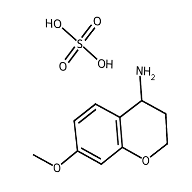 COc1ccc2c(c1)OCCC2N.O=S(=O)(O)O